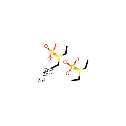 CCS(CC)=P([O-])([O-])[O-].CCS(CC)=P([O-])([O-])[O-].[Zn+2].[Zn+2].[Zn+2]